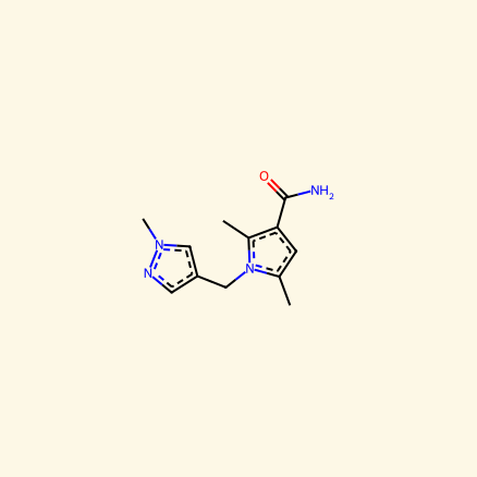 Cc1cc(C(N)=O)c(C)n1Cc1cnn(C)c1